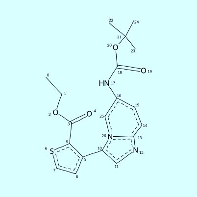 CCOC(=O)c1sccc1-c1cnc2ccc(NC(=O)OC(C)(C)C)cn12